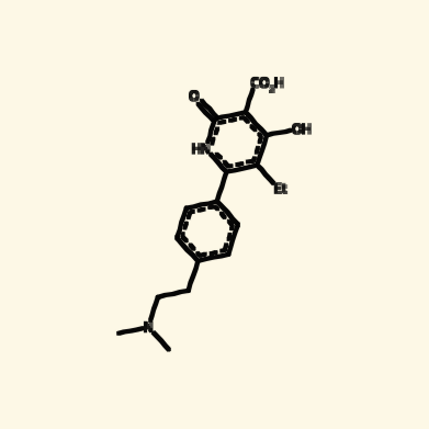 CCc1c(-c2ccc(CCN(C)C)cc2)[nH]c(=O)c(C(=O)O)c1O